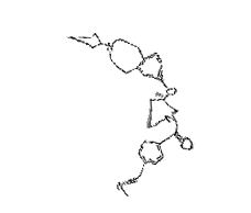 N#Cc1ccc(C(=O)N2CC[C@@H](Oc3ccc4c(c3)CCN(C3CCC3)CC4)C2)cc1